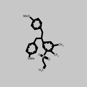 C=CCS(=O)(=O)c1cc(C(Cc2ccc(OC)cc2)Cc2ccc(OC)cc2)cc(C)c1C(F)(F)F